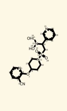 N#Cc1cccnc1OC1CCN(S(=O)(=O)CC(c2cccnc2)N(O)C=O)CC1